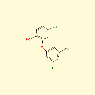 N#Cc1cc(Cl)cc(Oc2cc(Cl)ccc2O)c1